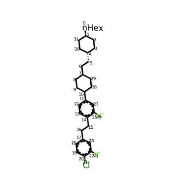 CCCCCC[C@H]1CC[C@H](CCC2CCC(c3ccc(CCc4ccc(Cl)c(F)c4)c(F)c3)CC2)CC1